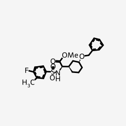 COC(=O)[C@H](NS(=O)(=O)c1ccc(F)c(C)c1)[C@@H]1CCC[C@@H](OCc2ccccc2)C1